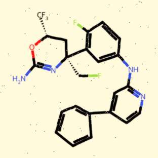 NC1=N[C@](CF)(c2cc(Nc3cc(-c4ccccc4)ccn3)ccc2F)C[C@@H](C(F)(F)F)O1